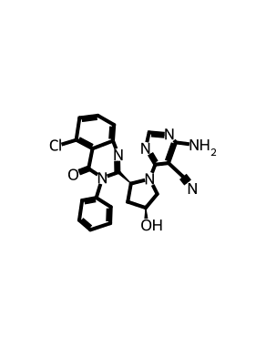 N#Cc1c(N)ncnc1N1C[C@@H](O)C[C@H]1c1nc2cccc(Cl)c2c(=O)n1-c1ccccc1